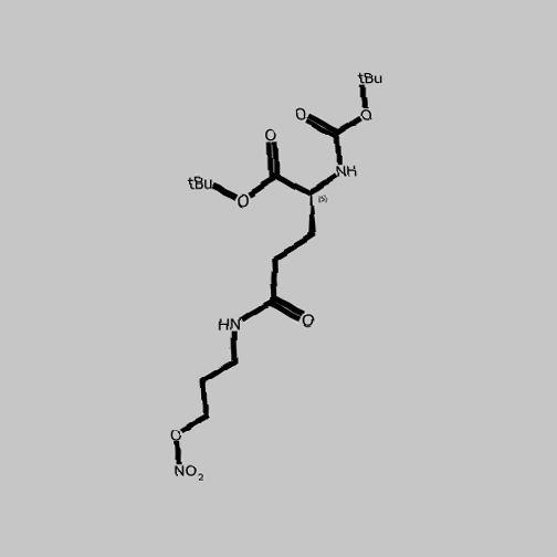 CC(C)(C)OC(=O)N[C@@H](CCC(=O)NCCCO[N+](=O)[O-])C(=O)OC(C)(C)C